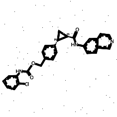 O=C(Nc1ccccc1Cl)OCc1ccc([C@@H]2C[C@H]2C(=O)Nc2ccc3cnccc3c2)cc1